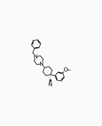 COc1cccc([C@]2(C#N)CC[C@H](N3CCN(Cc4ccccc4)CC3)CC2)c1